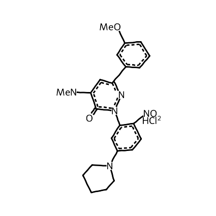 CNc1cc(-c2cccc(OC)c2)nn(-c2cc(N3CCCCC3)ccc2[N+](=O)[O-])c1=O.Cl